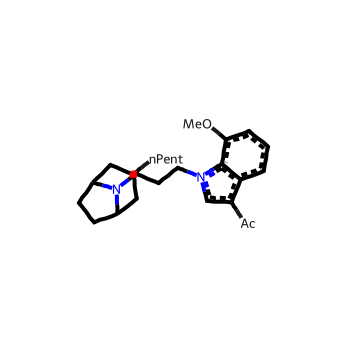 CCCCCC1CC2CCC(C1)N2CCCn1cc(C(C)=O)c2cccc(OC)c21